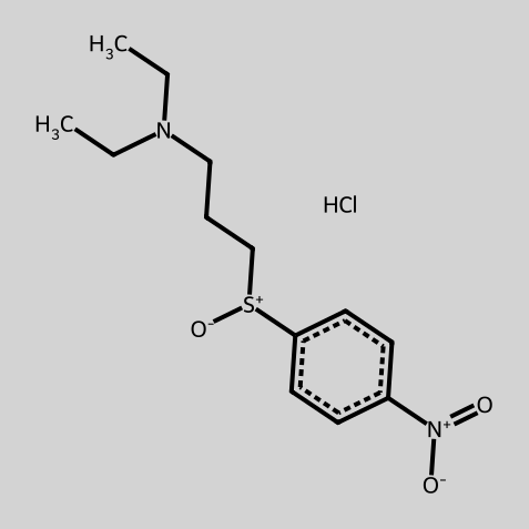 CCN(CC)CCC[S+]([O-])c1ccc([N+](=O)[O-])cc1.Cl